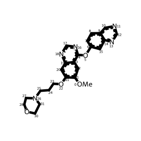 COc1cc2c(Oc3ccc4cncnc4c3)ncnc2cc1OCCCN1CCOCC1